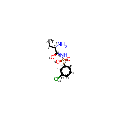 CC(C)C[C@H](N)C(=O)NS(=O)(=O)c1cccc(Cl)c1